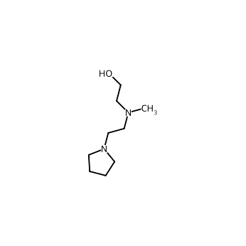 CN(CCO)CCN1CCCC1